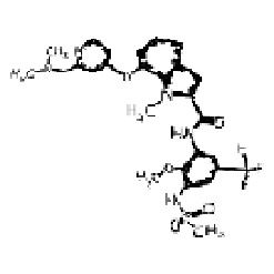 COc1c(NC(=O)c2cc3cccc(Oc4ccnc(CN(C)C)c4)c3n2C)cc(C(F)(F)F)cc1NS(C)(=O)=O